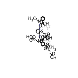 CCCN1/C(=C/C=C2\CCCC(/C=C/C3=[N+](CCCS(=O)(=O)O)c4ccc(S(=O)(=O)N(C)CCCC(=O)O)cc4C3(C)C)=C2SCCS(=O)(=O)O)C(C)(C)c2ccccc21